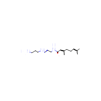 CC(C)=CCC/C(C)=C/C(=O)NCCCNCCCN